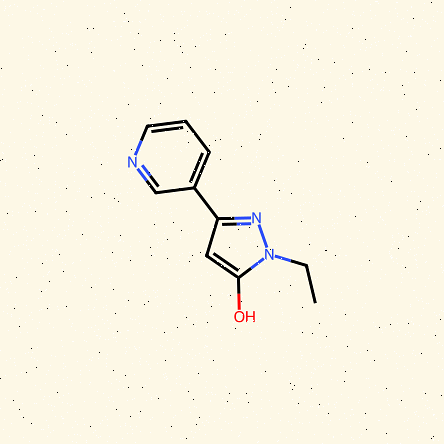 CCn1nc(-c2cccnc2)cc1O